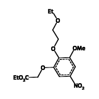 CCOCCOc1c(OC)cc([N+](=O)[O-])cc1OCC(=O)OCC